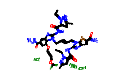 CCn1nc(C)cc1C(=O)Nc1nc2cc(C(N)=O)sc2n1C/C=C/Cn1c(NC(=O)c2cc(C)nn2CC)nc2cc(C(N)=O)cc(OCCOC(F)F)c21.Cl.Cl.Cl.Cl